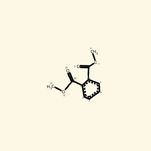 COC(=O)c1c[c]ccc1C(=O)OC